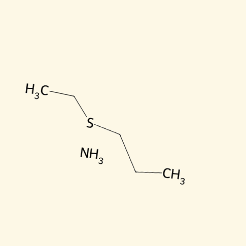 CCCSCC.N